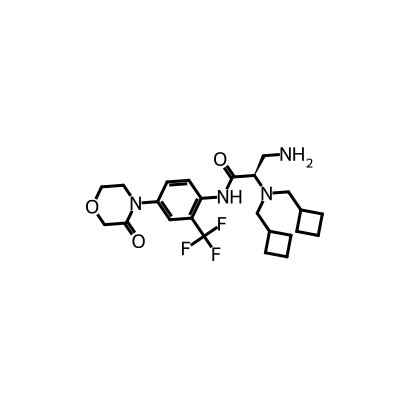 NC[C@H](C(=O)Nc1ccc(N2CCOCC2=O)cc1C(F)(F)F)N(CC1CCC1)CC1CCC1